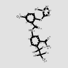 CC(C)n1nnnc1Sc1ccc([N+](=O)[O-])cc1C(=O)Nc1ccc(C(F)(F)C(F)(F)C(F)(F)F)c(C(N)=O)c1